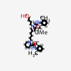 COCC[N+](CCCCO)(CCCCCCN1CCCCC1C(=O)Nc1c(C)cccc1C)CC(=O)Nc1c(C)cccc1C